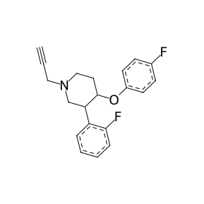 C#CCN1CCC(Oc2ccc(F)cc2)C(c2ccccc2F)C1